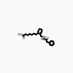 O=C(O)CCCCCCC1C2CCC(O2)C1CNNC(=S)Cc1ccccc1